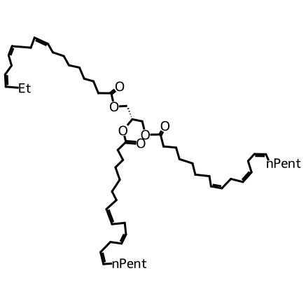 CC/C=C\C/C=C\C/C=C\CCCCCCCC(=O)OC[C@H](COC(=O)CCCCCC/C=C\C/C=C\C/C=C\CCCCC)OC(=O)CCCCCC/C=C\C/C=C\C/C=C\CCCCC